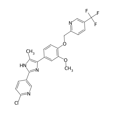 COc1cc(-c2nc(-c3ccc(Cl)nc3)[nH]c2C)ccc1OCc1ccc(C(F)(F)F)cn1